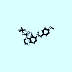 COc1ccc(CNc2cnc3c(c2C)N(C(=O)OC(C)(C)C)CCO3)cc1